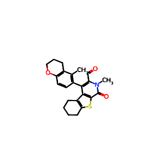 Cc1c(-c2c(C=O)n(C)c(=O)c3sc4c(c23)CCCC4)ccc2c1CCCO2